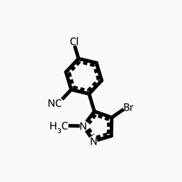 Cn1ncc(Br)c1-c1ccc(Cl)cc1C#N